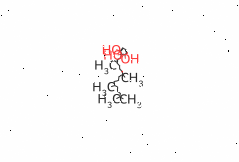 CC(=CCC1(O)C(O)=CC=CC1O)CCCC(C)CCCC(C)CCCC(C)C